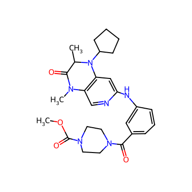 COC(=O)N1CCN(C(=O)c2cccc(Nc3cc4c(cn3)N(C)C(=O)C(C)N4C3CCCC3)c2)CC1